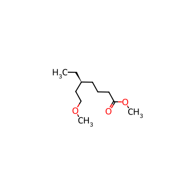 CC[C@@H](CCCC(=O)OC)CCOC